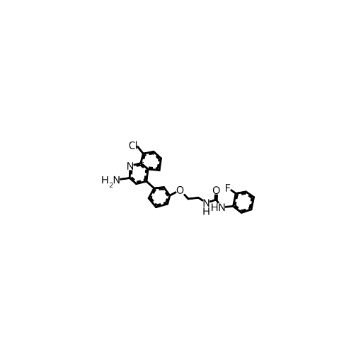 Nc1cc(-c2cccc(OCCNC(=O)Nc3ccccc3F)c2)c2cccc(Cl)c2n1